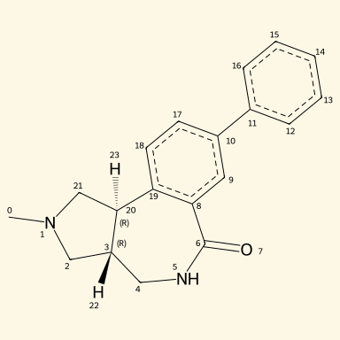 CN1C[C@H]2CNC(=O)c3cc(-c4ccccc4)ccc3[C@@H]2C1